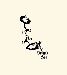 O=C(Cc1ccncc1)NNC(=O)[C@@H]1CCC2CN1C(=O)N2OS(=O)(=O)O